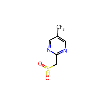 O=[SH](=O)Cc1ncc(C(F)(F)F)cn1